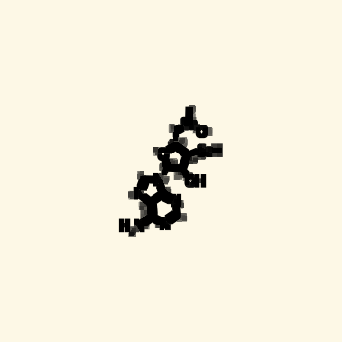 C[Se](=O)C[C@H]1O[C@@H](n2cnc3c(N)ncnc32)[C@H](O)[C@@H]1[SeH]